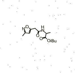 Cc1cc(CC(=O)NC(C)C(=O)OCC(C)C)on1